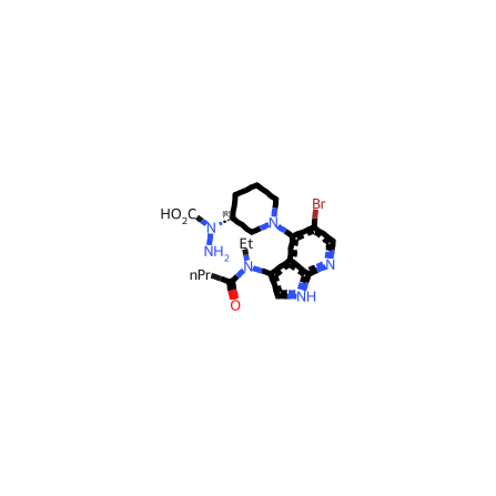 CCCC(=O)N(CC)c1c[nH]c2ncc(Br)c(N3CCC[C@@H](N(N)C(=O)O)C3)c12